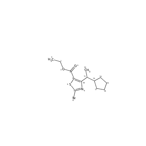 CCOC(=O)c1sc(Br)nc1C(C)C1CCCC1